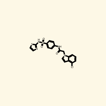 O=C(Cn1ccc2c(Cl)cccc21)Nc1ccc(S(=O)(=O)Nc2nccs2)cc1